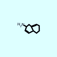 NC1C=CC2CCCC=C2C1